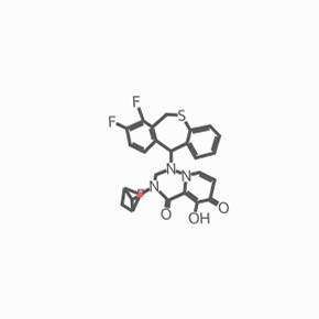 O=C1c2c(O)c(=O)ccn2N(C2c3ccccc3SCc3c2ccc(F)c3F)CN1C1C2CC1C2F